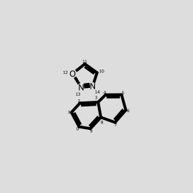 c1ccc2ccccc2c1.c1conn1